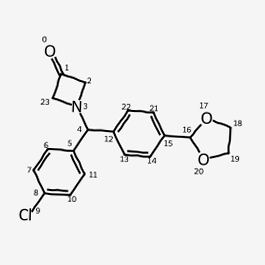 O=C1CN(C(c2ccc(Cl)cc2)c2ccc(C3OCCO3)cc2)C1